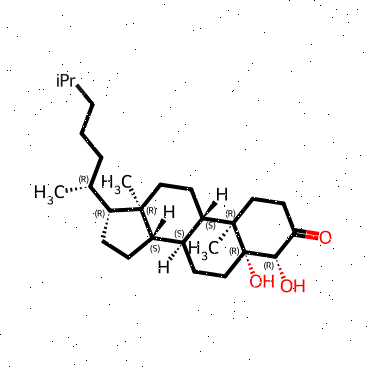 CC(C)CCC[C@@H](C)[C@H]1CC[C@H]2[C@@H]3CC[C@]4(O)[C@@H](O)C(=O)CC[C@]4(C)[C@H]3CC[C@]12C